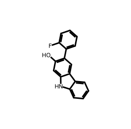 Oc1cc2[nH]c3ccccc3c2cc1-c1ccccc1F